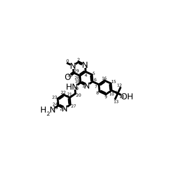 Cn1cnc2cc(-c3ccc(C(C)(C)O)cc3)nc(NCc3ccc(N)nc3)c2c1=O